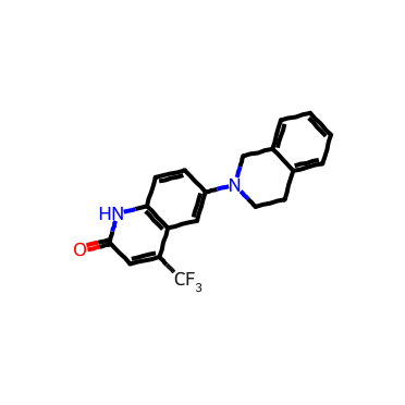 O=c1cc(C(F)(F)F)c2cc(N3CCc4ccccc4C3)ccc2[nH]1